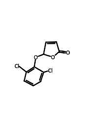 O=C1C=CC(Oc2c(Cl)cccc2Cl)O1